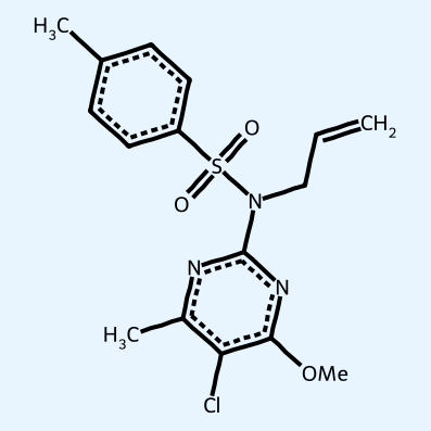 C=CCN(c1nc(C)c(Cl)c(OC)n1)S(=O)(=O)c1ccc(C)cc1